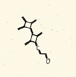 C=C1C(=C)C(=C2C(=C)C(=C=CC=O)C2=C)C1=C